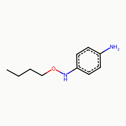 CCCCONc1ccc(N)cc1